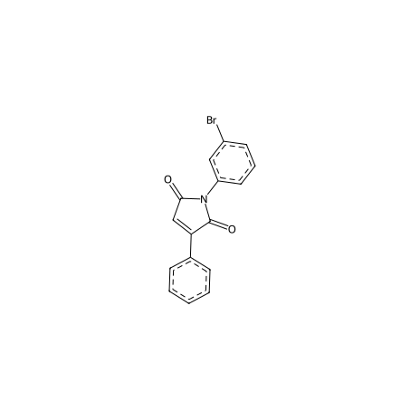 O=C1C=C(c2ccccc2)C(=O)N1c1cccc(Br)c1